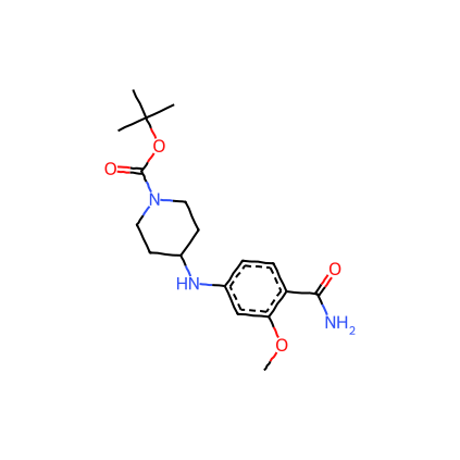 COc1cc(NC2CCN(C(=O)OC(C)(C)C)CC2)ccc1C(N)=O